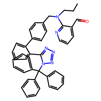 CCCN(Cc1ccc(-c2ccccc2-c2nnnn2C(c2ccccc2)(c2ccccc2)c2ccccc2)cc1)c1ncccc1C=O